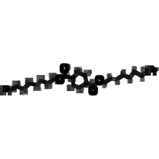 CC(C)CCCCCCCOC(=O)C1CCC(C(=O)OCCCCCCCC(C)C)CC1